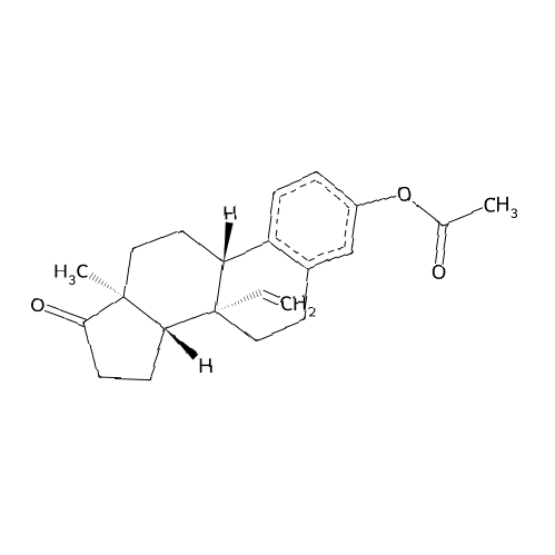 C=C[C@@]12CCc3cc(OC(C)=O)ccc3[C@H]1CC[C@]1(C)C(=O)CC[C@@H]21